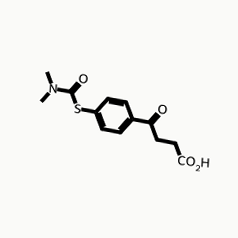 CN(C)C(=O)Sc1ccc(C(=O)CCC(=O)O)cc1